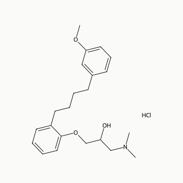 COc1cccc(CCCCc2ccccc2OCC(O)CN(C)C)c1.Cl